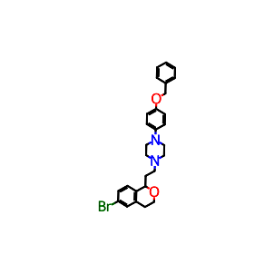 Brc1ccc2c(c1)CCOC2CCN1CCN(c2ccc(OCc3ccccc3)cc2)CC1